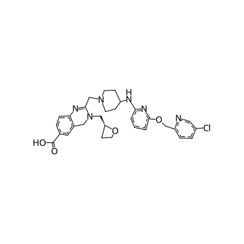 O=C(O)c1ccc2c(c1)CN(C[C@@H]1CCO1)C(CN1CCC(Nc3cccc(OCc4ccc(Cl)cn4)n3)CC1)=N2